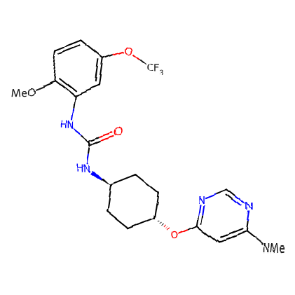 CNc1cc(O[C@H]2CC[C@H](NC(=O)Nc3cc(OC(F)(F)F)ccc3OC)CC2)ncn1